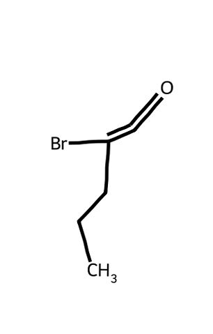 CCCC(Br)=C=O